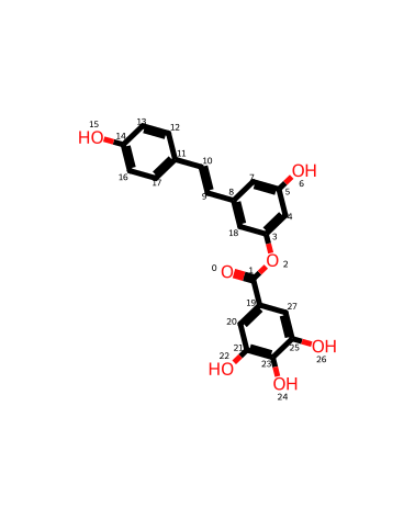 O=C(Oc1cc(O)cc(C=Cc2ccc(O)cc2)c1)c1cc(O)c(O)c(O)c1